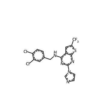 FC(F)(F)c1cc2c(NCc3ccc(Cl)c(Cl)c3)nc(-n3ccnc3)nc2s1